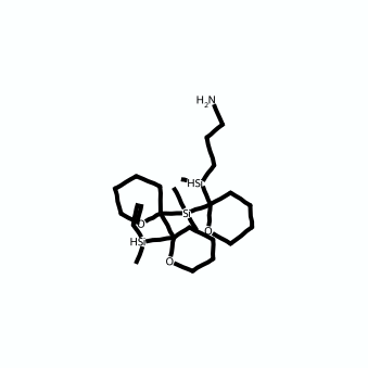 C=C[SiH](C)C1(C2([Si](C)(C)C3([SiH](C)CCCN)CCCCO3)CCCCO2)CCCCO1